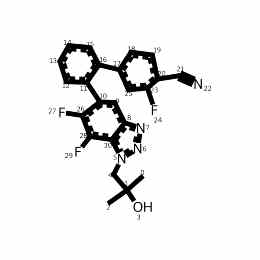 CC(C)(O)Cn1nnc2cc(-c3ccccc3-c3ccc(C#N)c(F)c3)c(F)c(F)c21